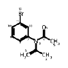 C=C(C)N(C(C)=O)c1cccc(Br)c1